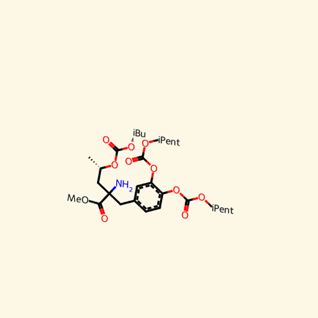 CCCC(C)OC(=O)Oc1ccc(CC(N)(C[C@H](C)OC(=O)O[C@@H](C)CC)C(=O)OC)cc1OC(=O)OC(C)CCC